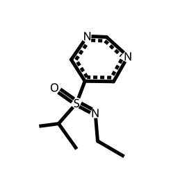 CCN=S(=O)(c1cncnc1)C(C)C